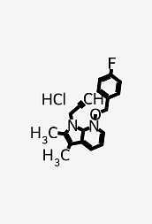 C#CCN1C(C)=C(C)C2=CC=CN(OCc3ccc(F)cc3)C21.Cl